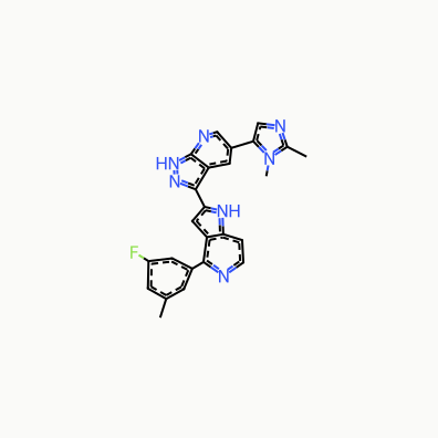 Cc1cc(F)cc(-c2nccc3[nH]c(-c4n[nH]c5ncc(-c6cnc(C)n6C)cc45)cc23)c1